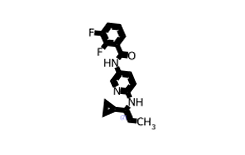 C/C=C(\Nc1ccc(NC(=O)c2cccc(F)c2F)cn1)C1CC1